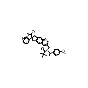 COc1ccc(C(C)N(Cc2cnc3cc4c(cc3c2)CC2(C4)C(=O)Nc3ncccc32)C(=O)C(C)(C)C)cc1